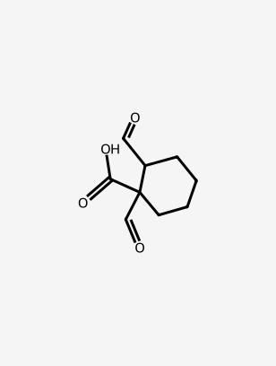 O=CC1CCCCC1(C=O)C(=O)O